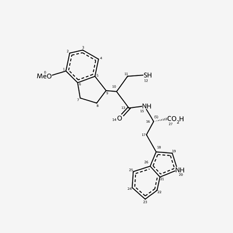 COc1cccc2c1CCC2C(CS)C(=O)N[C@@H](Cc1c[nH]c2ccccc12)C(=O)O